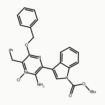 CC(C)Cc1c(OCc2ccccc2)nc(-c2cn(C(=O)OC(C)(C)C)c3ccccc23)c(N)[n+]1[O-]